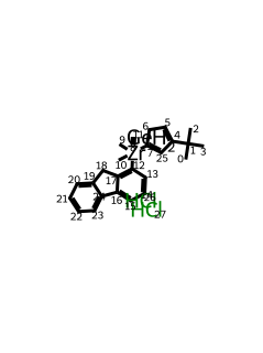 CC(C)(C)C1=CC[C]([Zr]([CH3])([CH3])(=[GeH2])[c]2cccc3c2Cc2ccccc2-3)=C1.Cl.Cl